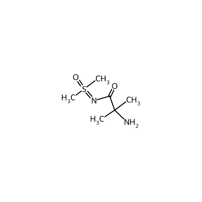 CC(C)(N)C(=O)N=S(C)(C)=O